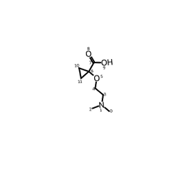 CN(C)CCOC1(C(=O)O)CC1